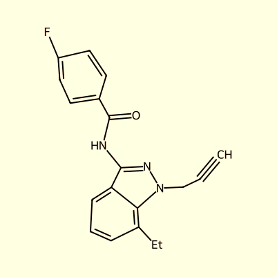 C#CCn1nc(NC(=O)c2ccc(F)cc2)c2cccc(CC)c21